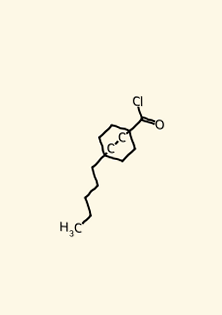 CCCCCC12CCC(C(=O)Cl)(CC1)CC2